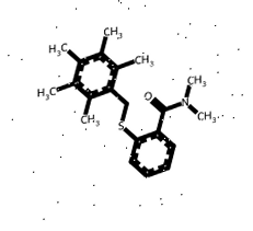 Cc1c(C)c(C)c(CSc2ccccc2C(=O)N(C)C)c(C)c1C